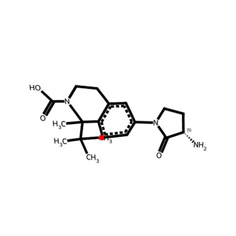 CC(C)(C)C1(C)c2ccc(N3CC[C@H](N)C3=O)cc2CCN1C(=O)O